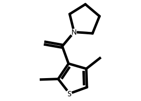 C=C(c1c(C)csc1C)N1CCCC1